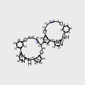 C1=C\COc2cccc(c2)Nc2nccc(n2)-c2cc(cc(C3/C=C/CCOc4cccc(c4)-c4ccnc(n4)Nc4cccc(c4)OC3)c2)OCC/1